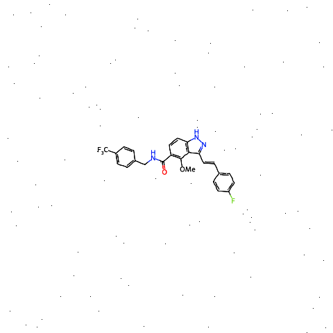 COc1c(C(=O)NCc2ccc(C(F)(F)F)cc2)ccc2[nH]nc(C=Cc3ccc(F)cc3)c12